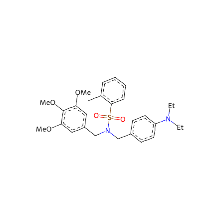 CCN(CC)c1ccc(CN(Cc2cc(OC)c(OC)c(OC)c2)S(=O)(=O)c2ccccc2C)cc1